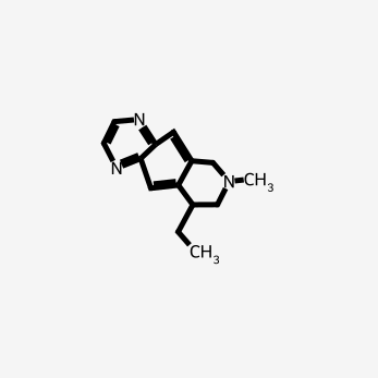 CCC1CN(C)Cc2cc3nccnc3cc21